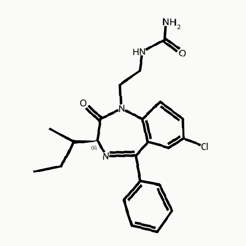 CCC(C)[C@@H]1N=C(c2ccccc2)c2cc(Cl)ccc2N(CCNC(N)=O)C1=O